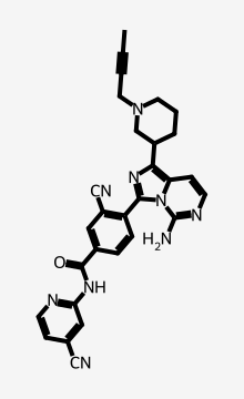 CC#CCN1CCCC(c2nc(-c3ccc(C(=O)Nc4cc(C#N)ccn4)cc3C#N)n3c(N)nccc23)C1